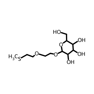 CSCCOCCOC1OC(CO)C(O)C(O)C1O